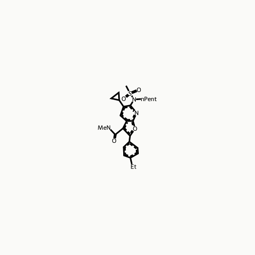 CCCCCN(c1nc2oc(-c3ccc(CC)cc3)c(C(=O)NC)c2cc1C1CC1)S(C)(=O)=O